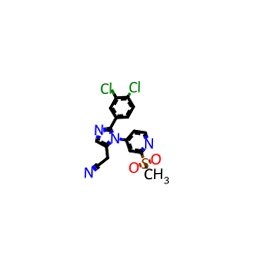 CS(=O)(=O)c1cc(-n2c(CC#N)cnc2-c2ccc(Cl)c(Cl)c2)ccn1